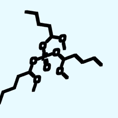 CCCCC(OC)OP(=O)(OC(CCCC)OC)OC(CCCC)OC